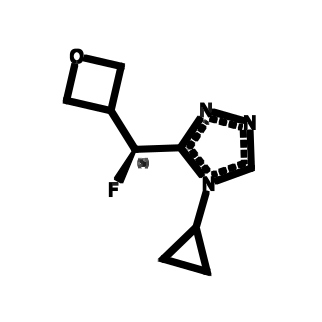 F[C@H](c1nncn1C1CC1)C1COC1